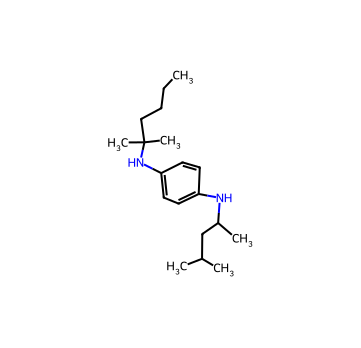 CCCCC(C)(C)Nc1ccc(NC(C)CC(C)C)cc1